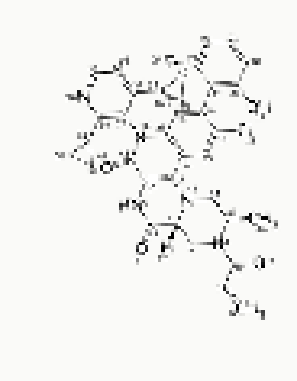 C=CC(=O)N1C[C@@H]2C(=O)Nc3c(c4cc(Cl)c(-c5c(O)cccc5F)c(F)c4n(-c4c(C5CC5)ncnc4C4CC4)c3=O)N2C[C@H]1C